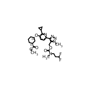 COC(=O)[C@H]1CCC[C@H](Oc2ccc(-c3nnn(C)c3COC(=O)N(C)CCC(F)F)nc2C2CC2)C1